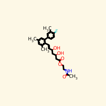 CC(=O)NCCOC(=O)C[C@H](O)C[C@H](O)/C=C/c1c(C)cc(C)cc1-c1ccc(F)c(C)c1